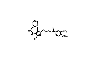 CCc1nn(CCCOC(=O)c2ccc(OC)c(C(F)(F)F)c2)c2c1C(=O)NCC1(CCOCC1)C2